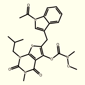 CON(C)C(=O)Oc1c(Cc2cn(C(C)=O)c3ccccc23)sc2c1c(=O)n(C)c(=O)n2CC(C)C